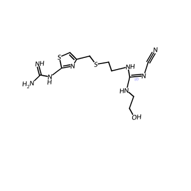 N#C/N=C(/NCCO)NCCSCc1csc(NC(=N)N)n1